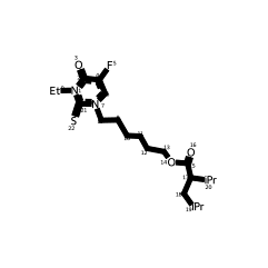 CCn1c(=O)c(F)cn(CCCCCCOC(=O)C(CC(C)C)C(C)C)c1=S